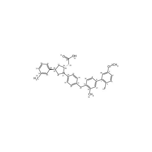 COc1ccc(F)c(-c2ccc(Cc3ccc(N4C[C@@H](c5cccc(C)c5)C[C@@H]4CC(=O)O)cc3)c(C)c2)c1